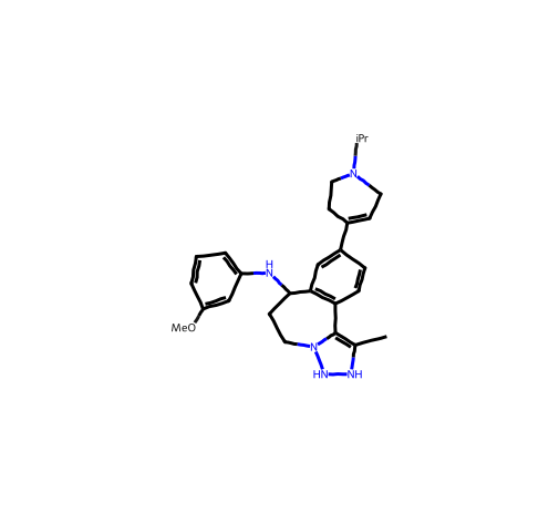 COc1cccc(NC2CCN3NNC(C)=C3c3ccc(C4=CCN(C(C)C)CC4)cc32)c1